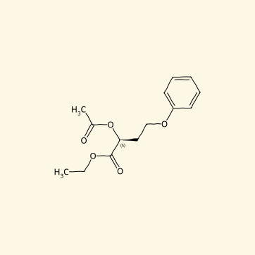 CCOC(=O)[C@H](CCOc1ccccc1)OC(C)=O